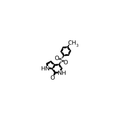 Cc1ccc(S(=O)(=O)c2c[nH]c(=O)c3[nH]ccc23)cc1